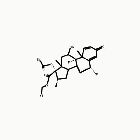 CCC(=O)O[C@@]1(C(=O)SCCl)[C@H](C)CC2C3C[C@@H](F)C4=CC(=O)C=CC4(C)[C@]3(F)C(O)CC21C